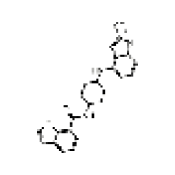 O=C(NC1CCC(Nc2cccc3nc(C(F)(F)F)cn23)CC1)c1cccc2ncoc12